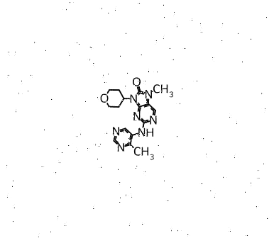 Cc1ncncc1Nc1ncc2c(n1)n(C1CCOCC1)c(=O)n2C